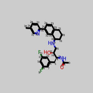 CC(=O)N[C@@H](Cc1cc(F)cc(F)c1)[C@@H](O)CNC1CCCc2ccc(-c3ccc(C)cn3)cc21